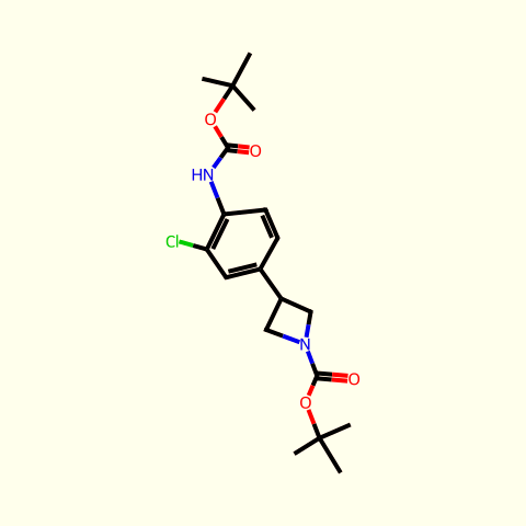 CC(C)(C)OC(=O)Nc1ccc(C2CN(C(=O)OC(C)(C)C)C2)cc1Cl